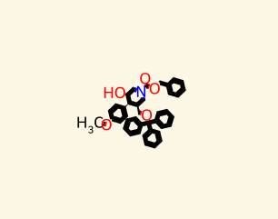 COc1ccc([C@H]2[C@H](COC(c3ccccc3)(c3ccccc3)c3ccccc3)CN(C(=O)OCc3ccccc3)C[C@@H]2O)cc1